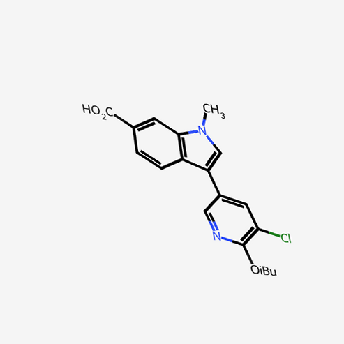 CC(C)COc1ncc(-c2cn(C)c3cc(C(=O)O)ccc23)cc1Cl